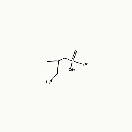 CCCCP(=O)(O)CC(C)CN